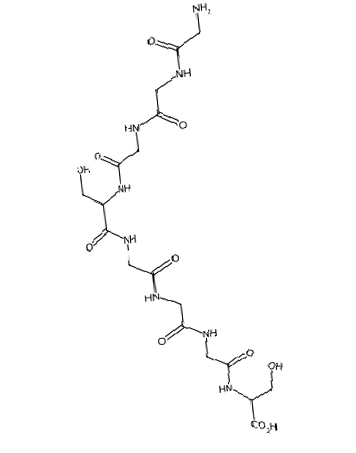 NCC(=O)NCC(=O)NCC(=O)NC(CO)C(=O)NCC(=O)NCC(=O)NCC(=O)NC(CO)C(=O)O